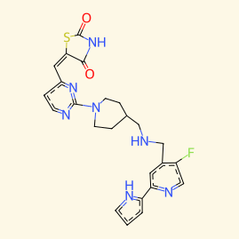 O=C1NC(=O)/C(=C\c2ccnc(N3CCC(CNCc4cc(-c5ccc[nH]5)ncc4F)CC3)n2)S1